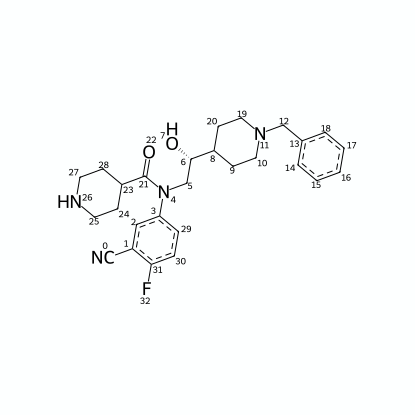 N#Cc1cc(N(C[C@H](O)C2CCN(Cc3ccccc3)CC2)C(=O)C2CCNCC2)ccc1F